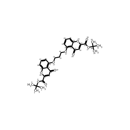 CC(C)(C)OC(=O)c1cc(=O)c2c(OCCCOc3cccc4oc(C(=O)OC(C)(C)C)cc(=O)c34)cccc2o1